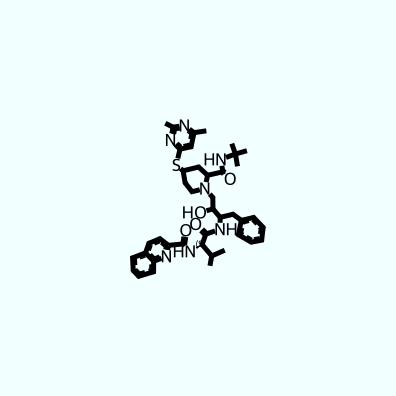 Cc1cc(SC2CCN(CC(O)C(Cc3ccccc3)NC(=O)[C@@H](NC(=O)c3ccc4ccccc4n3)C(C)C)C(C(=O)NC(C)(C)C)C2)nc(C)n1